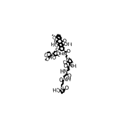 COc1cccc2c1C(=O)c1c(O)c3c(c(O)c1C2=O)C[C@@H](C(=O)NCCN1CCC(NC(=O)CNC(=O)CNC(=O)CCN2C(=O)C=CC2O)C1=O)C[C@@H]3OC1C[C@H](N2CCO[C@H](OC)C2)[C@H](O)[C@H](C)O1